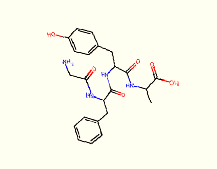 CC(NC(=O)C(Cc1ccc(O)cc1)NC(=O)C(Cc1ccccc1)NC(=O)CN)C(=O)O